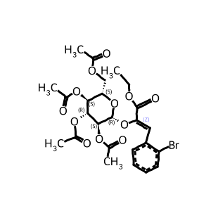 CCOC(=O)/C(=C/c1ccccc1Br)O[C@H]1O[C@@H](COC(C)=O)[C@H](OC(C)=O)[C@@H](OC(C)=O)[C@@H]1OC(C)=O